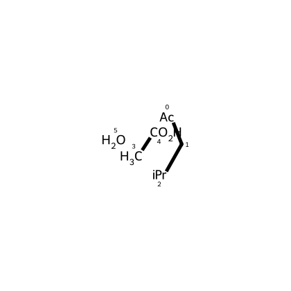 CC(=O)CC(C)C.CC(=O)O.O